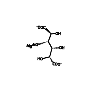 O=C([O-])[C@@H](O)[C@@H](O)[C@H](O)[C@@H](O)C(=O)[O-].[Mg+2]